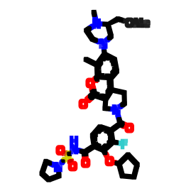 COC[C@H]1CN(c2ccc3c4c(c(=O)oc3c2C)CN(C(=O)c2ccc(C(=O)NS(=O)(=O)N3CCCC3)c(OC3CCCC3)c2F)CC4)CCN1C